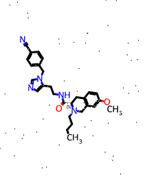 CCCCN1Cc2cc(OC)ccc2C[C@H]1C(=O)NCCc1cncn1Cc1ccc(C#N)cc1